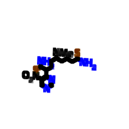 CNC(CCCC(N)=S)CCC(C(N)=S)c1ncncc1[N+](=O)[O-]